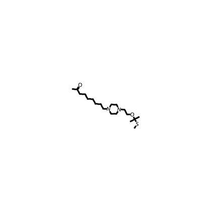 CSC(C)(C)OCCN1CCN(CCCCCCCC(C)=O)CC1